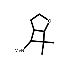 CNC1C2CCOC2C1(C)C